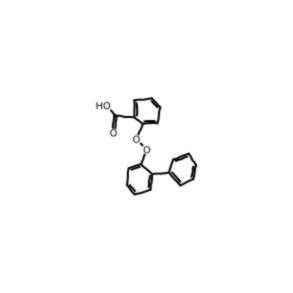 O=C(O)c1ccccc1OOc1ccccc1-c1ccccc1